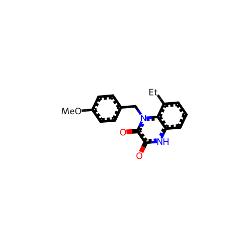 CCc1cccc2[nH]c(=O)c(=O)n(Cc3ccc(OC)cc3)c12